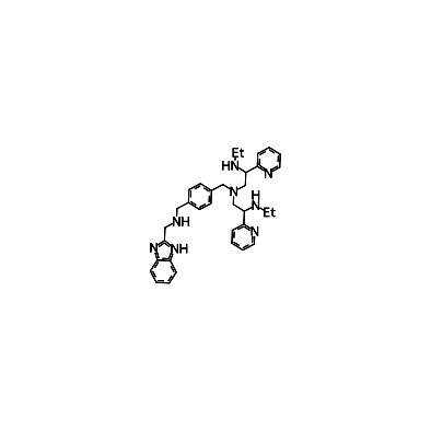 CCNC(CN(Cc1ccc(CNCc2nc3ccccc3[nH]2)cc1)CC(NCC)c1ccccn1)c1ccccn1